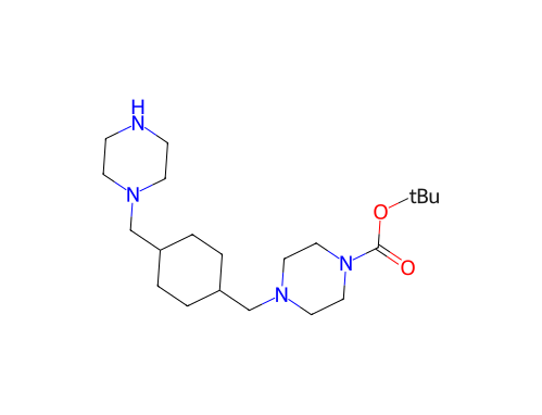 CC(C)(C)OC(=O)N1CCN(CC2CCC(CN3CCNCC3)CC2)CC1